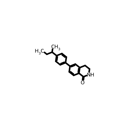 CCC(C)c1ccc(-c2ccc3c(c2)CCNC3=O)cc1